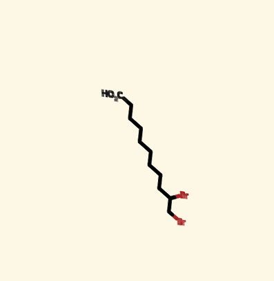 O=C(O)CCCCCCCCC(Br)CBr